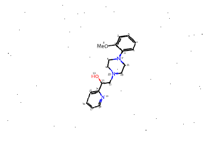 COc1ccccc1N1CCN(CC(O)c2ccccn2)CC1